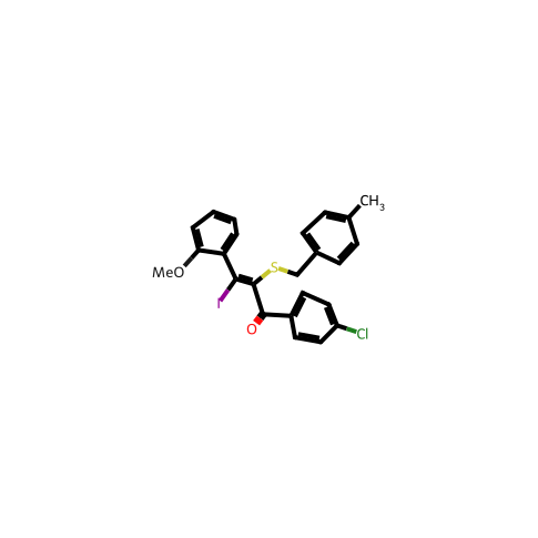 COc1ccccc1C(I)=C(SCc1ccc(C)cc1)C(=O)c1ccc(Cl)cc1